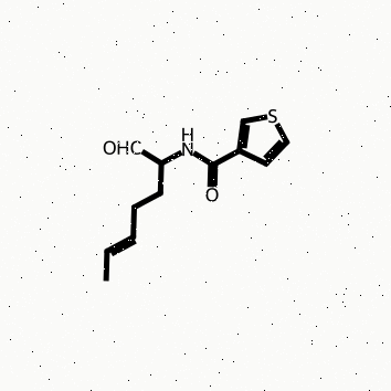 CC=CCCC(C=O)NC(=O)c1ccsc1